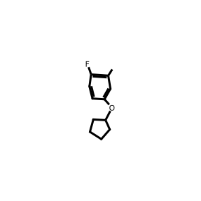 Cc1cc(OC2CCCC2)ccc1F